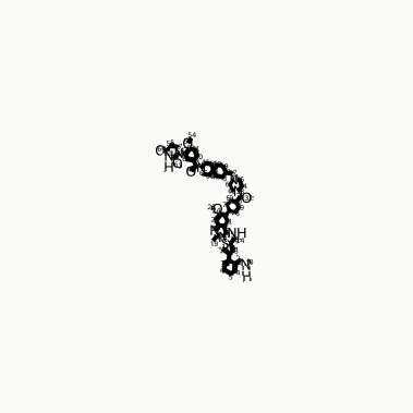 CNCc1ccccc1-c1csc([C@@H](C)Nc2nc(C)nc3cc(OC)c(C4CCC(C(=O)N5CCN(CC6CCC7(CC6)CCN(C(=O)c6ccc(OC)c(-n8ccc(=O)[nH]c8=O)c6)CC7)CC5)CC4)cc23)c1